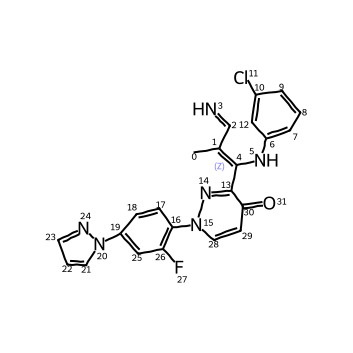 C/C(C=N)=C(/Nc1cccc(Cl)c1)c1nn(-c2ccc(-n3cccn3)cc2F)ccc1=O